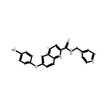 N#Cc1ccc(Oc2ccc3nc(C(=O)NCc4ccncc4)ccc3c2)cc1